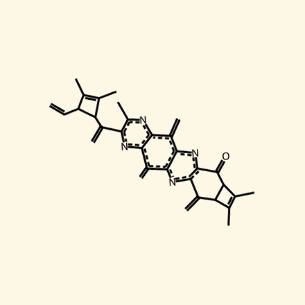 C=CC1C(C)=C(C)C1C(=C)c1nc2c(=C)c3nc4c(nc3c(=C)c2nc1C)C(=O)C1C(C)=C(C)C1C4=C